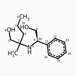 CCCC(C)(CO)N[C@@H](CO)c1ccccc1